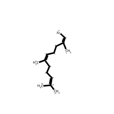 [CH2]C(=O)C=C(C)CCC=C(C)CCC=C(C)C